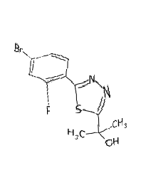 CC(C)(O)c1nnc(-c2ccc(Br)cc2F)s1